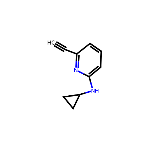 C#Cc1cccc(NC2CC2)n1